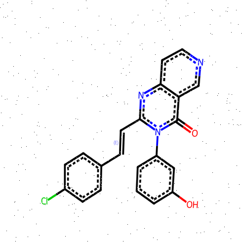 O=c1c2cnccc2nc(/C=C/c2ccc(Cl)cc2)n1-c1cccc(O)c1